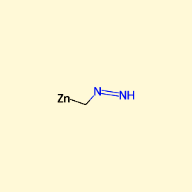 N=N[CH2][Zn]